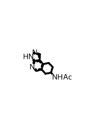 CC(=O)NC1CCc2c(cnc3[nH]ncc23)C1